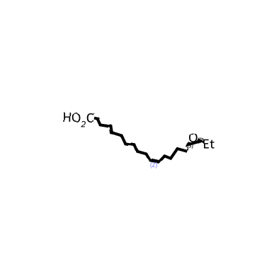 CC[C@H]1O[C@H]1CCCC/C=C\CCCCCCCCCC(=O)O